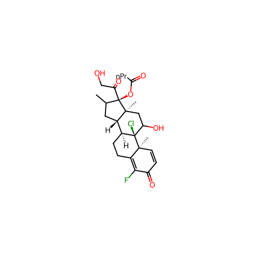 CCCC(=O)O[C@]1(C(=O)CO)C(C)C[C@H]2[C@@H]3CCC4=C(F)C(=O)C=C[C@]4(C)[C@@]3(Cl)C(O)C[C@@]21C